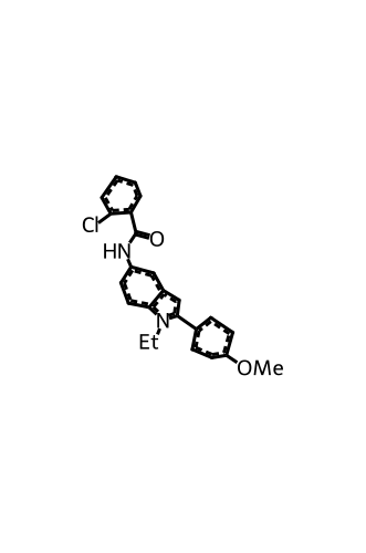 CCn1c(-c2ccc(OC)cc2)cc2cc(NC(=O)c3ccccc3Cl)ccc21